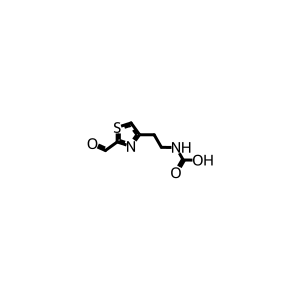 O=Cc1nc(CCNC(=O)O)cs1